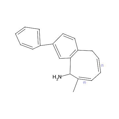 C/C1=C/C=C\Cc2ccc(-c3ccccc3)cc2C1N